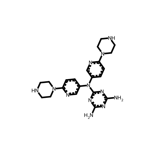 Nc1nc(N)nc(N(c2ccc(N3CCNCC3)nc2)c2ccc(N3CCNCC3)nc2)n1